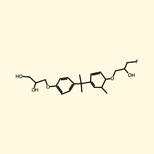 CC1C=C(C(C)(C)c2ccc(OCC(O)CO)cc2)C=CC1OCC(O)CF